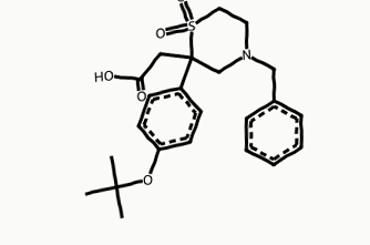 CC(C)(C)Oc1ccc(C2(CC(=O)O)CN(Cc3ccccc3)CCS2(=O)=O)cc1